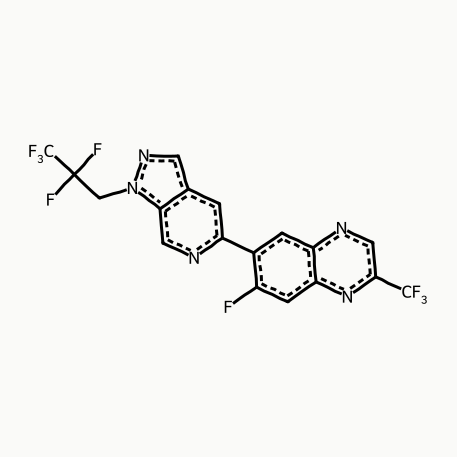 Fc1cc2nc(C(F)(F)F)cnc2cc1-c1cc2cnn(CC(F)(F)C(F)(F)F)c2cn1